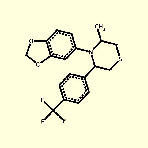 CC1[CH]SCC(c2ccc(C(F)(F)F)cc2)N1c1ccc2c(c1)OCO2